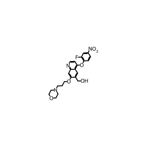 O=[N+]([O-])c1ccc(Oc2ccnc3cc(OCCCN4CCOCC4)c(CO)cc23)c(F)c1